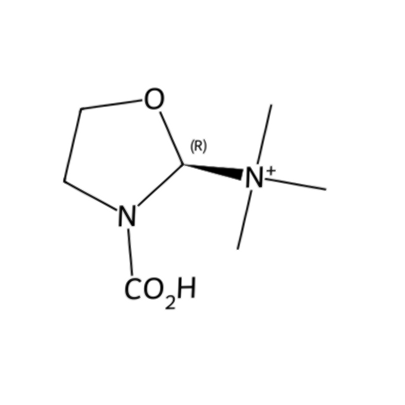 C[N+](C)(C)[C@@H]1OCCN1C(=O)O